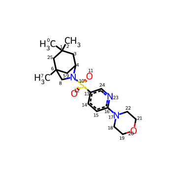 CC1(C)CC2CC(C)(CN2S(=O)(=O)c2ccc(N3CCOCC3)nc2)C1